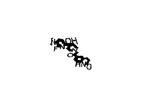 CN(C)c1ccc(C2(O)CCN(CC(=O)c3ccc4c(c3)CCC(=O)N4)CC2)nc1F